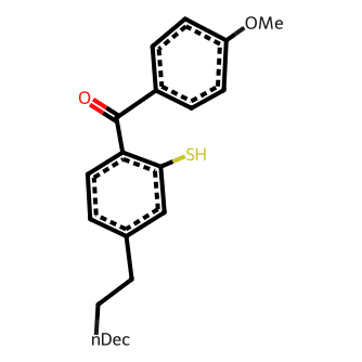 CCCCCCCCCCCCc1ccc(C(=O)c2ccc(OC)cc2)c(S)c1